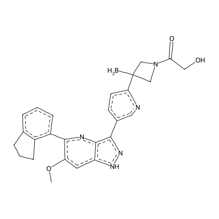 BC1(c2ccc(-c3n[nH]c4cc(OC)c(-c5cccc6c5CCC6)nc34)cn2)CN(C(=O)CO)C1